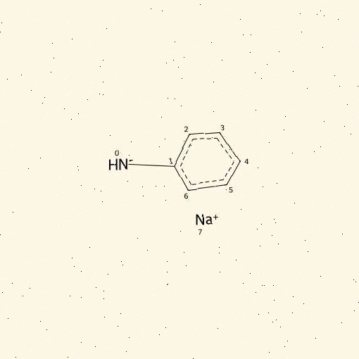 [NH-]c1ccccc1.[Na+]